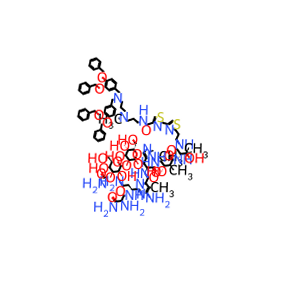 Cc1c(N)nc([C@H](CC(N)=O)NC[C@H](N)C(N)=O)nc1C(=O)N[C@H](C(=O)N[C@H](C)[C@@H](O)[C@H](C)C(=O)N[C@H](C(=O)NCCc1nc(-c2nc(C(=O)NCCCN(C)CCCN(Cc3ccc(OCc4ccccc4)c(OCc4ccccc4)c3)Cc3ccc(OCc4ccccc4)c(OCc4ccccc4)c3)cs2)cs1)[C@@H](C)O)[C@@H](O[C@@H]1O[C@@H](CO)[C@@H](O)[C@H](O)[C@@H]1O[C@H]1O[C@H](CO)[C@@H](O)[C@H](OC(N)=O)[C@@H]1O)c1cnc[nH]1